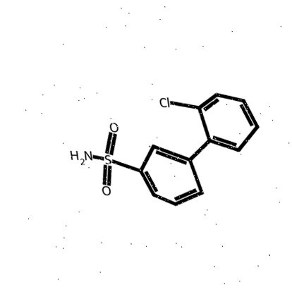 NS(=O)(=O)c1[c]c(-c2ccccc2Cl)ccc1